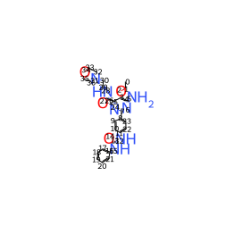 CCOc1c(N)nc(-c2ccc(NC(=O)Nc3ccccc3)cc2)nc1C(=O)NCCN1CCOCC1